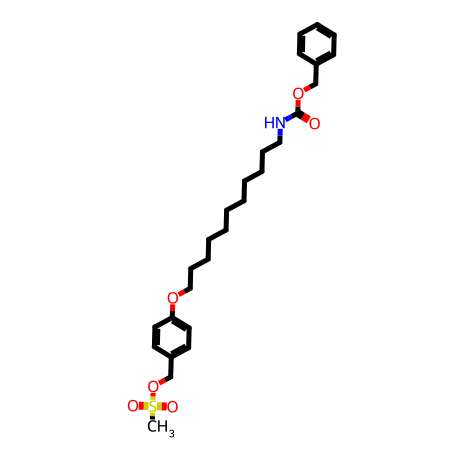 CS(=O)(=O)OCc1ccc(OCCCCCCCCCCCNC(=O)OCc2ccccc2)cc1